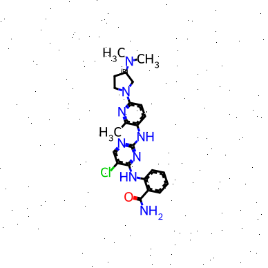 Cc1nc(N2CC[C@@H](N(C)C)C2)ccc1Nc1ncc(Cl)c(Nc2ccccc2C(N)=O)n1